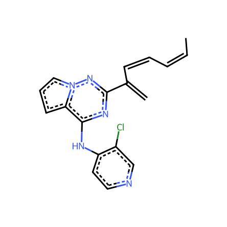 C=C(/C=C\C=C/C)c1nc(Nc2ccncc2Cl)c2cccn2n1